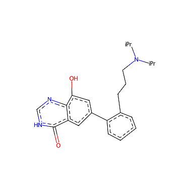 CC(C)N(CCCc1ccccc1-c1cc(O)c2nc[nH]c(=O)c2c1)C(C)C